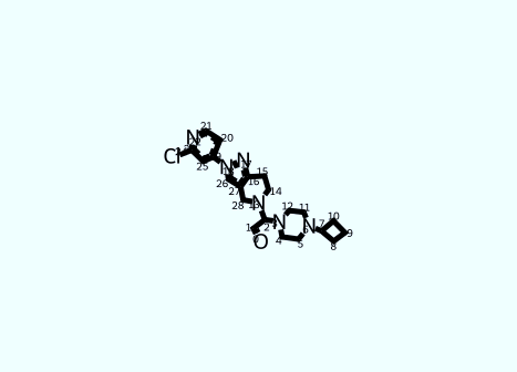 O=CC(N1CCN(C2CCC2)CC1)N1CCc2nn(-c3ccnc(Cl)c3)cc2C1